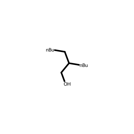 CCCCCC(CO)CCCC